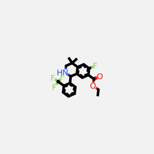 CCOC(=O)c1cc2c(cc1F)C(C)(C)CNC2c1ccccc1C(F)(F)F